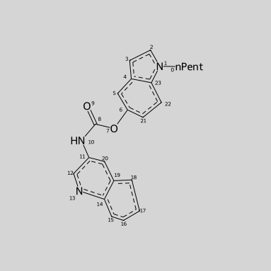 CCCCCn1ccc2cc(OC(=O)Nc3cnc4ccccc4c3)ccc21